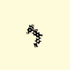 CCS(=O)(=O)c1ccc(Cl)cc1Nn1cnc2cc(CN3CCN(C4COC4)CC3)c(Br)cc2c1=O